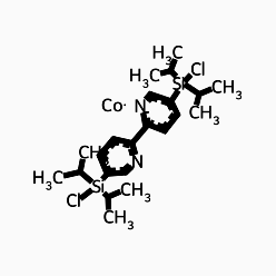 CC(C)[Si](Cl)(c1ccc(-c2ccc([Si](Cl)(C(C)C)C(C)C)cn2)nc1)C(C)C.[Co]